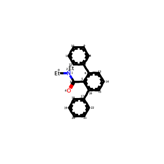 CCN(CC)C(=O)c1c(-c2ccccc2)cccc1-c1ccccc1